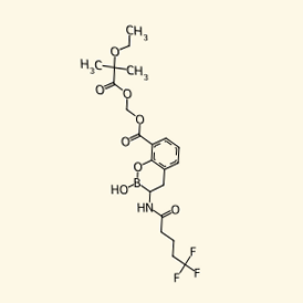 CCOC(C)(C)C(=O)OCOC(=O)c1cccc2c1OB(O)C(NC(=O)CCCC(F)(F)F)C2